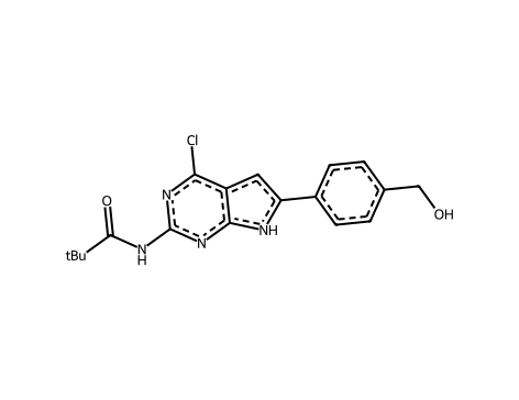 CC(C)(C)C(=O)Nc1nc(Cl)c2cc(-c3ccc(CO)cc3)[nH]c2n1